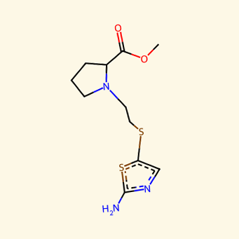 COC(=O)C1CCCN1CCSc1cnc(N)s1